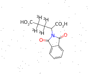 [2H]C([2H])(C(=O)O)C([2H])([2H])C(C(=O)O)N1C(=O)c2ccccc2C1=O